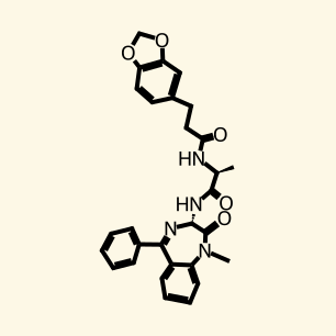 C[C@H](NC(=O)CCc1ccc2c(c1)OCO2)C(=O)N[C@H]1N=C(c2ccccc2)c2ccccc2N(C)C1=O